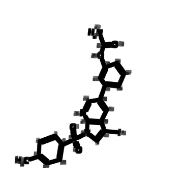 Cc1ccc(S(=O)(=O)n2cc(I)c3cc(-c4cccc(OC(N)=O)c4)cnc32)cc1